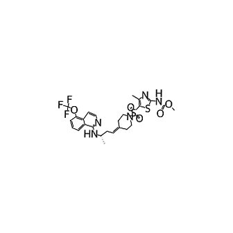 COC(=O)Nc1nc(C)c(S(=O)(=O)N2CCC(=CC[C@H](C)Nc3nccc4c(OC(F)(F)F)cccc34)CC2)s1